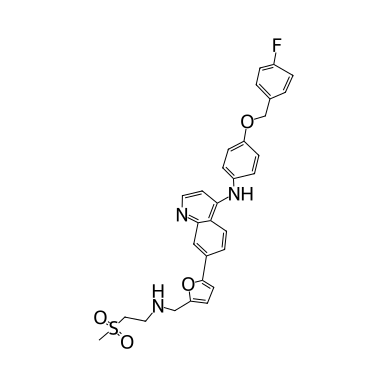 CS(=O)(=O)CCNCc1ccc(-c2ccc3c(Nc4ccc(OCc5ccc(F)cc5)cc4)ccnc3c2)o1